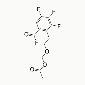 CC(=O)OCOCCc1c(C(=O)F)cc(F)c(F)c1F